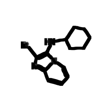 CCc1nc2ccccn2c1NC1CCCCC1